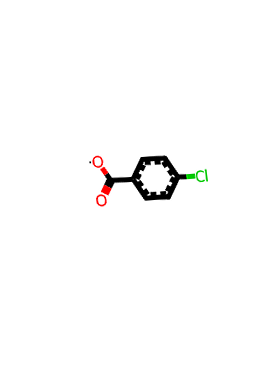 [O]C(=O)c1ccc(Cl)cc1